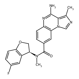 Cc1ncn2c1c(N)nc1ccc(C(=O)N(C)[C@@H]3COc4ccc(F)cc43)cc12